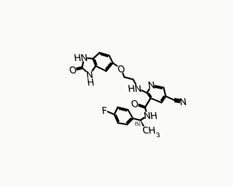 C[C@H](NC(=O)c1cc(C#N)cnc1NCCOc1ccc2[nH]c(=O)[nH]c2c1)c1ccc(F)cc1